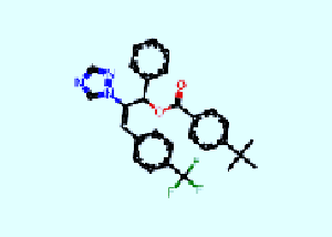 CC(C)(C)c1ccc(C(=O)OC(/C(=C\c2ccc(C(F)(F)F)cc2)n2cncn2)c2ccccc2)cc1